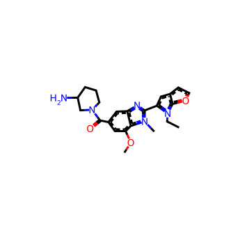 CCn1c(-c2nc3cc(C(=O)N4CCCC(N)C4)cc(OC)c3n2C)cc2ccoc21